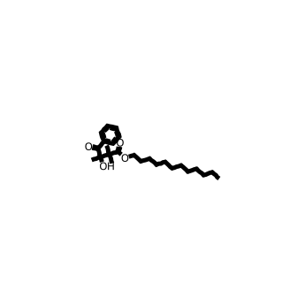 CCCCCCCCCCCCOC(=O)C(C)(C)C(C)(O)C(=O)c1ccccc1